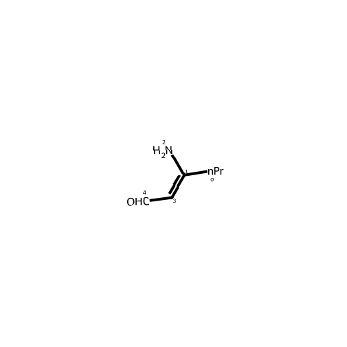 CCC/C(N)=C/C=O